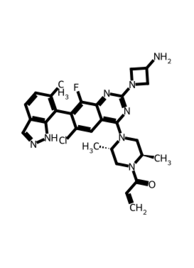 C=CC(=O)N1C[C@H](C)N(c2nc(N3CC(N)C3)nc3c(F)c(-c4c(C)ccc5cn[nH]c45)c(Cl)cc23)C[C@H]1C